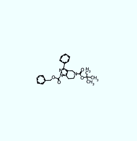 CC(C)(C)OC(=O)N1CCc2c(c(-c3ccccc3)nn2C(=O)OCc2ccccc2)C1